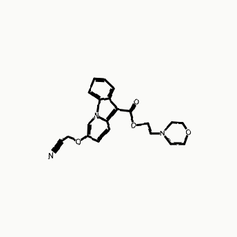 N#CCOc1ccc2c(C(=O)OCCN3CCOCC3)c3ccccc3n2c1